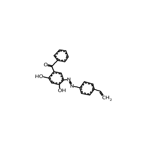 C=Cc1ccc(N=Nc2cc(C(=O)c3ccccc3)c(O)cc2O)cc1